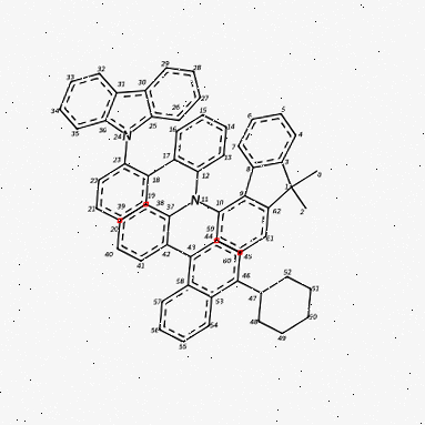 CC1(C)c2ccccc2-c2c(N(c3ccccc3-c3ccccc3-n3c4ccccc4c4ccccc43)c3ccccc3-c3ccc(C4CCCCC4)c4ccccc34)cccc21